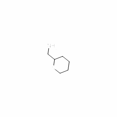 NCC1CCCCS1